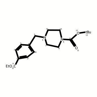 CCOC(=O)c1ccc(CN2CCN(C(=O)OC(C)(C)C)CC2)cc1